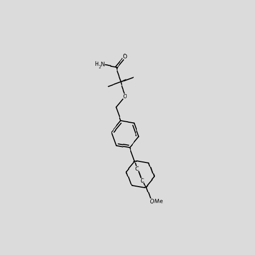 COC12CCC(c3ccc(COC(C)(C)C(N)=O)cc3)(CC1)CC2